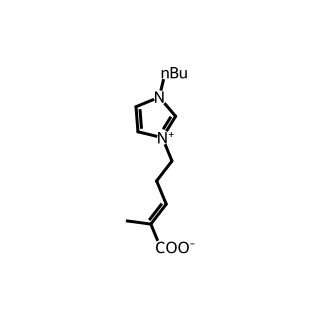 CCCCn1cc[n+](CCC=C(C)C(=O)[O-])c1